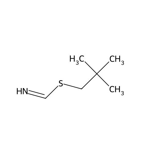 CC(C)(C)CSC=N